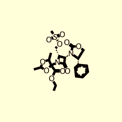 CCOC(=O)C1(N2C(=O)[C@@H](N3C(=O)OC[C@@H]3c3ccccc3)[C@H]2COS(C)(=O)=O)OC(C)OC1C